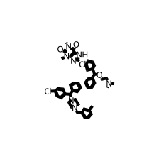 CN(C)CCOC(c1ccccc1)c1ccccc1.Cc1cccc(CN2CCN(C(c3ccccc3)c3ccc(Cl)cc3)CC2)c1.Cn1c(=O)c2[nH]c(Cl)nc2n(C)c1=O